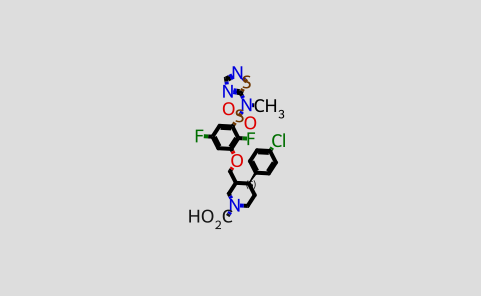 CN(c1ncns1)S(=O)(=O)c1cc(F)cc(OCC2CN(C(=O)O)CC[C@@H]2c2ccc(Cl)cc2)c1F